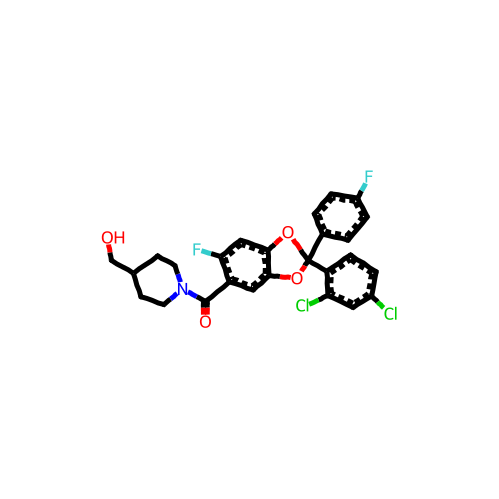 O=C(c1cc2c(cc1F)OC(c1ccc(F)cc1)(c1ccc(Cl)cc1Cl)O2)N1CCC(CO)CC1